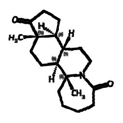 C[C@]12CC[C@H]3[C@@H](CCN4C(=O)CCCC[C@]34C)[C@@H]1CCC2=O